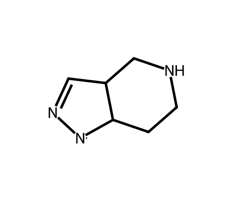 C1=N[N]C2CCNCC12